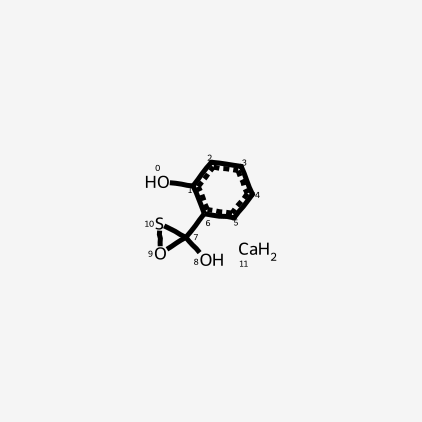 Oc1ccccc1C1(O)OS1.[CaH2]